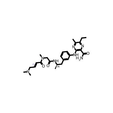 CCc1nc(C(N)=O)c(Nc2cccc(C[C@@H](C)NC(=O)CN(C)C(=O)/C=C/CN(C)C)c2)nc1C